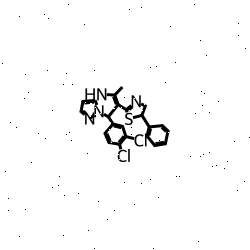 CC1=C(C2=NCC(c3ccccc3)S2)C(c2ccc(Cl)c(Cl)c2)n2nccc2N1